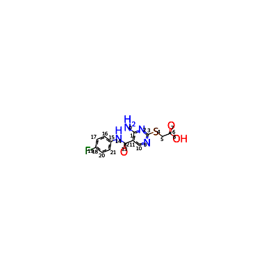 Nc1nc(SCC(=O)O)ncc1C(=O)Nc1ccc(F)cc1